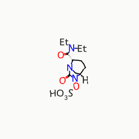 CCN(CC)C(=O)[C@@H]1CC[C@H]2CN1C(=O)N2OS(=O)(=O)O